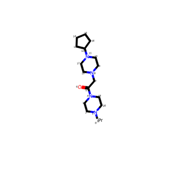 CC(C)N1CCN(C(=O)CN2CCN(C3CCCC3)CC2)CC1